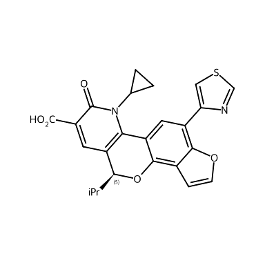 CC(C)[C@@H]1Oc2c(cc(-c3cscn3)c3occc23)-c2c1cc(C(=O)O)c(=O)n2C1CC1